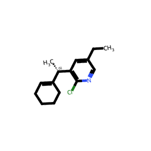 CCc1cnc(Cl)c([C@@H](C)C2=CCCCC2)c1